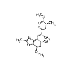 COC(=O)[C@@H](C)CC(=O)/C(C)=C/c1c(S)cc(OC)c2oc(C)nc12